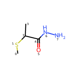 CSC(C)C(=O)NN